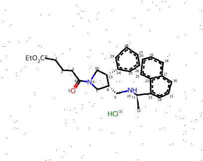 CCOC(=O)CCCC(=O)N1C[C@@H](CN[C@H](C)c2cccc3ccccc23)[C@@H](c2ccccc2)C1.Cl